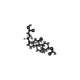 COC(=O)/C=C/[C@@H](C)C1=CCC2C3CC[C@@H]4C[C@@H](OC(C)=O)CC[C@]4(C)C3C(=O)C[C@]12C